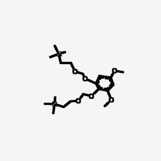 COc1cc(OC)c(OCOCC[Si](C)(C)C)c(OCOCC[Si](C)(C)C)c1